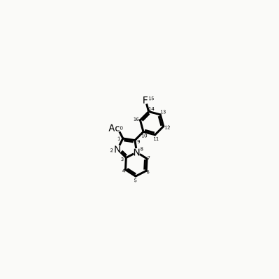 CC(=O)c1nc2ccccn2c1-c1cccc(F)c1